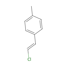 Cc1ccc(C=CCl)cc1